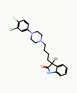 CCC1(CCCCN2CCN(c3ccc(F)c(Cl)c3)CC2)C(=O)Nc2ccccc21